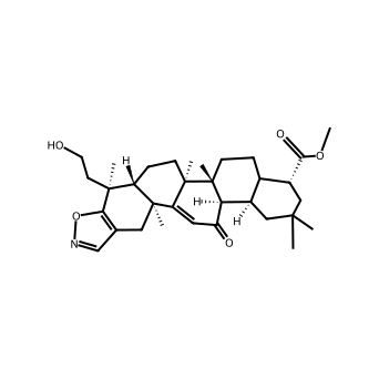 COC(=O)[C@@H]1CC(C)(C)C[C@@H]2C1CC[C@]1(C)[C@@H]2C(=O)C=C2[C@@]3(C)Cc4cnoc4[C@@](C)(CCO)[C@@H]3CC[C@]21C